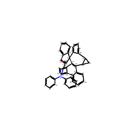 c1ccc(N(c2ccccc2)c2ccc3c(c2)C2(c4ccccc4-3)c3ccccc3C3CC3c3c2c2ccccc2c2ccccc32)cc1